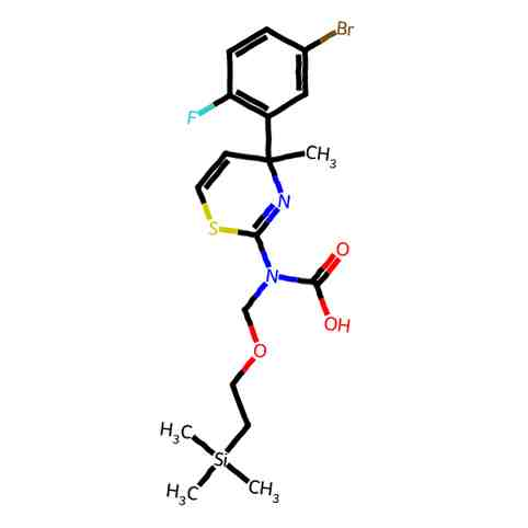 CC1(c2cc(Br)ccc2F)C=CSC(N(COCC[Si](C)(C)C)C(=O)O)=N1